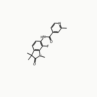 Cc1cc(C(=O)Nc2ccc3c(c2F)N(C)C(=O)C3(C)C)ccn1